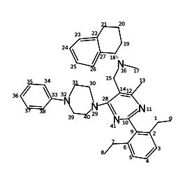 CCc1cccc(CC)c1-c1nc(C)c(CN(C)[C@H]2CCCc3ccccc32)c(N2CCN(c3ccccc3)CC2)n1